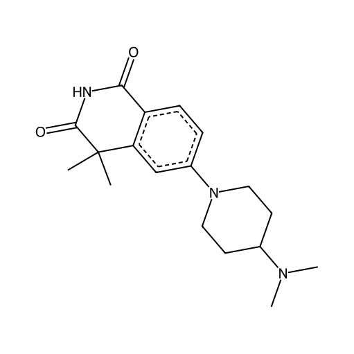 CN(C)C1CCN(c2ccc3c(c2)C(C)(C)C(=O)NC3=O)CC1